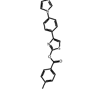 Cc1ccc(C(=O)Oc2nc(-c3ccc(-n4ccnc4)cc3)cs2)cc1